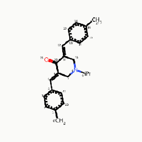 Cc1ccc(C=C2CN(C(C)C)CC(=Cc3ccc(C)cc3)C2=O)cc1